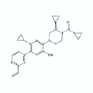 C=Cc1nccc(-c2cc(C#N)c(N3CCN(C(=O)C4CC4)[C@H](C4CC4)C3)nc2C2CC2)n1